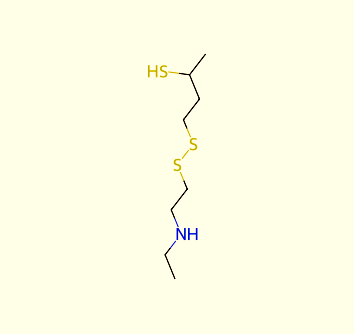 CCNCCSSCCC(C)S